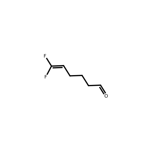 O=CCCCC=C(F)F